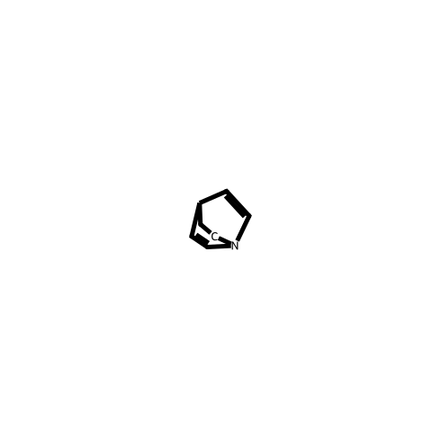 C1=CN2C=CC1CC2